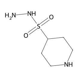 NNS(=O)(=O)C1CCNCC1